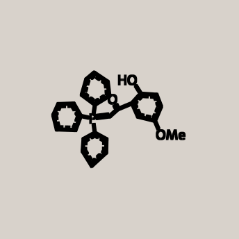 COc1ccc(O)c(C(=O)C=P(c2ccccc2)(c2ccccc2)c2ccccc2)c1